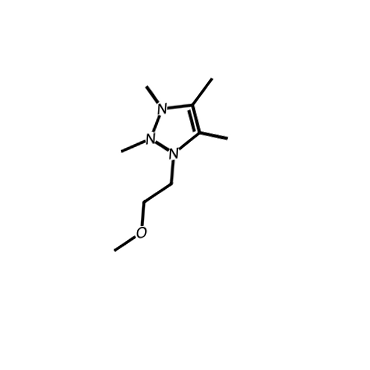 COCCN1C(C)=C(C)N(C)N1C